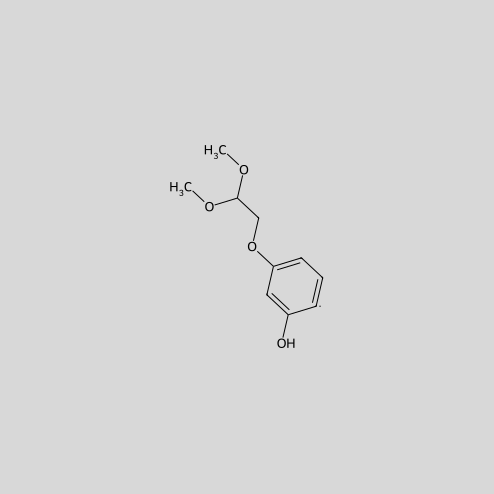 COC(COc1cc[c]c(O)c1)OC